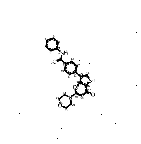 O=C(Nc1ccccc1)c1ccc(-c2csc3c(=O)cc(N4CCOCC4)oc23)cc1